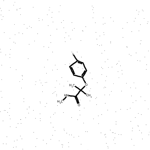 CNC(=O)C(C)(C)Oc1ccc(I)cc1